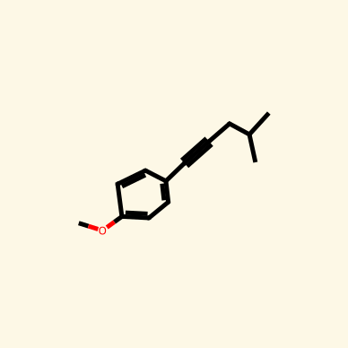 COc1ccc(C#CCC(C)C)cc1